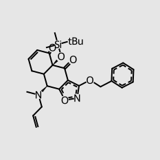 C=CCN(C)[C@@H]1c2onc(OCc3ccccc3)c2C(=O)[C@@]2(O[Si](C)(C)C(C)(C)C)C(=O)C=CCC12